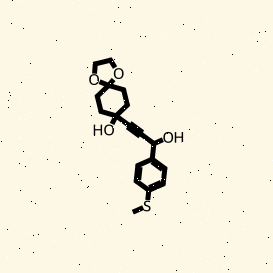 CSc1ccc(C(O)C#CC2(O)CCC3(CC2)OCCO3)cc1